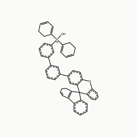 O[PH](C1=CC=CCC1)(C1=CC=CCC1)c1cccc(-c2cccc(-c3ccc4c(c3)C3(C5=C(C=CCC5)c5ccccc53)c3ccccc3O4)c2)c1